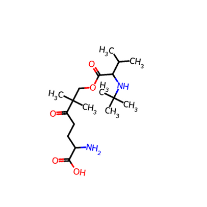 CC(C)C(NC(C)(C)C)C(=O)OCC(C)(C)C(=O)CCC(N)C(=O)O